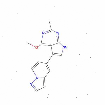 COc1nc(C)nc2[nH]cc(-c3ccn4nccc4c3)c12